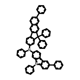 c1ccc(-c2ccc3cc4c(cc3c2)C(c2ccccc2)(c2ccccc2)c2cc(N(c3ccccc3)c3ccc5c6cc(-c7ccccc7)ccc6n(-c6ccccc6)c5c3)ccc2-4)cc1